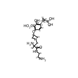 CC(N)(CN1CC(Oc2ccc([C@H]3C[C@H]3B(O)O)c(O)c2C(=O)O)C1)C(=O)NCCN